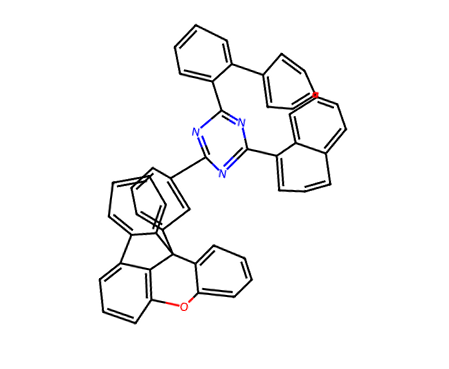 c1ccc(-c2ccccc2-c2nc(-c3cccc(C45c6ccccc6Oc6cccc(c64)-c4ccccc45)c3)nc(-c3cccc4ccccc34)n2)cc1